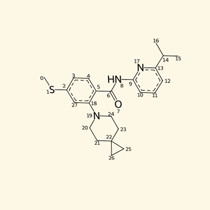 CSc1ccc(C(=O)Nc2cccc(C(C)C)n2)c(N2CCC3(CC2)CC3)c1